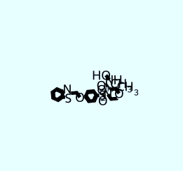 CC1(C)OCCN(S(=O)(=O)c2ccc(OCc3nc4ccccc4s3)cc2)[C@H]1C(=O)NO